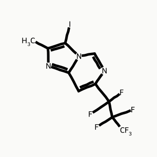 Cc1nc2cc(C(F)(F)C(F)(F)C(F)(F)F)ncn2c1I